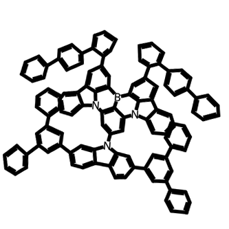 c1ccc(-c2ccc(-c3ccccc3-c3cc4c5c(c3)c3ccccc3n5-c3cc(-n5c6cc(-c7cc(-c8ccccc8)cc(-c8ccccc8)c7)ccc6c6ccc(-c7cc(-c8ccccc8)cc(-c8ccccc8)c7)cc65)cc5c3B4c3cc(-c4ccccc4-c4ccc(-c6ccccc6)cc4)cc4c6ccccc6n-5c34)cc2)cc1